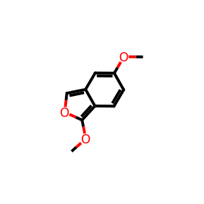 COc1ccc2c(OC)occ2c1